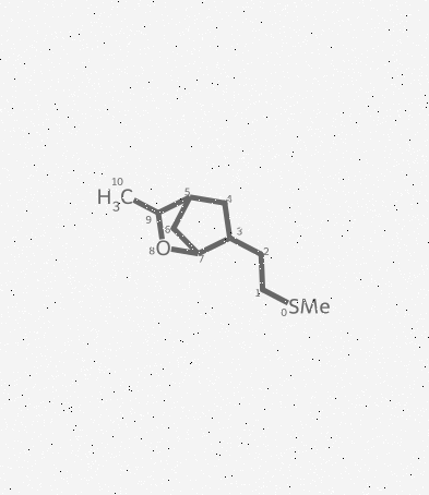 CSCCC1CC2CC1OC2C